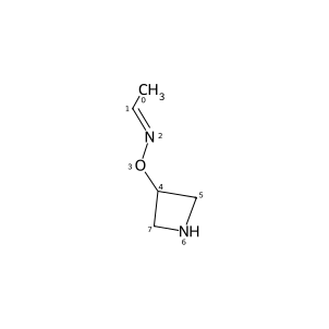 CC=NOC1CNC1